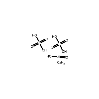 O=S(=O)(O)O.O=S(=O)(O)O.[CaH2].[O]=[Al][OH]